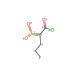 CCCC(C(=O)Cl)=S(=O)=O